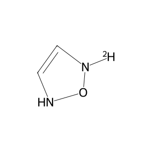 [2H]N1C=CNO1